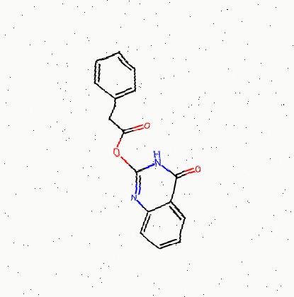 O=C(Cc1ccccc1)Oc1nc2ccccc2c(=O)[nH]1